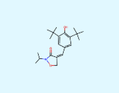 CC(C)N1OCC(=Cc2cc(C(C)(C)C)c(O)c(C(C)(C)C)c2)C1=O